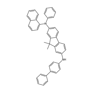 CC1(C)c2cc(Nc3ccc(-c4ccccc4)cc3)ccc2-c2ccc(N(c3ccccc3)c3cccc4ccccc34)cc21